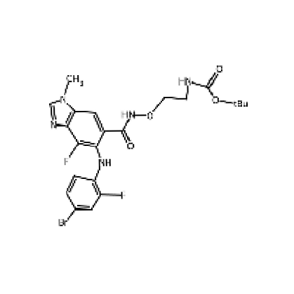 Cn1cnc2c(F)c(Nc3ccc(Br)cc3F)c(C(=O)NOCCNC(=O)OC(C)(C)C)cc21